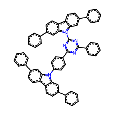 c1ccc(-c2ccc3c4ccc(-c5ccccc5)cc4n(-c4ccc(-c5nc(-c6ccccc6)nc(-n6c7cc(-c8ccccc8)ccc7c7ccc(-c8ccccc8)cc76)n5)cc4)c3c2)cc1